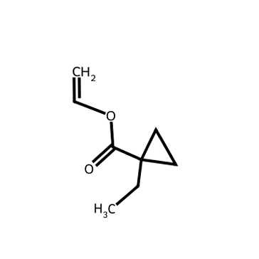 C=COC(=O)C1(CC)CC1